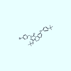 CC(C)(C)OC(=O)N1CCc2ccc(Oc3ccc(C(C)(C)C)cc3)cc2C1C(=O)OCc1ccc(Br)cc1